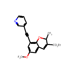 CCOC(=O)C1=Cc2cc(OC(F)(F)F)cc(C#Cc3cccnc3)c2OC1C(F)(F)F